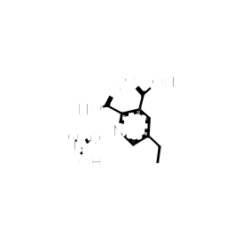 CCc1cnc(C(=O)O)c(C(=O)O)c1.O=[N+]([O-])O